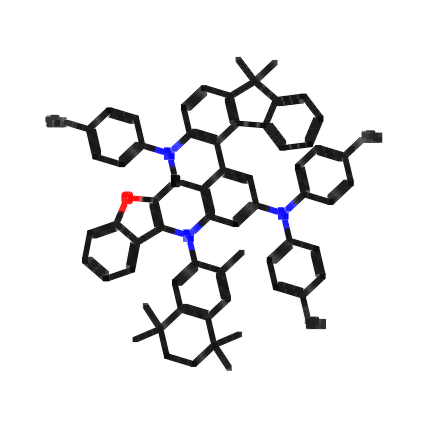 Cc1cc2c(cc1N1c3cc(N(c4ccc(C(C)(C)C)cc4)c4ccc(C(C)(C)C)cc4)cc4c3B(c3oc5ccccc5c31)N(c1ccc(C(C)(C)C)cc1)c1ccc3c(c1-4)-c1ccccc1C3(C)C)C(C)(C)CCC2(C)C